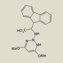 COC1=CC(OC)=NN(NC(C(=O)O)C2c3ccccc3-c3ccccc32)N1